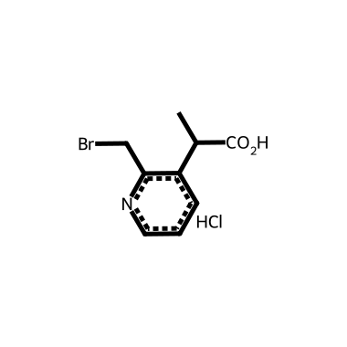 CC(C(=O)O)c1cccnc1CBr.Cl